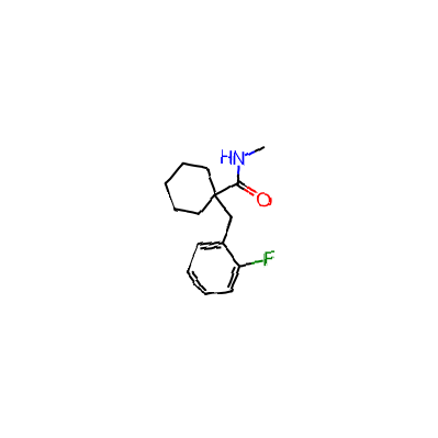 CNC(=O)C1(Cc2ccccc2F)CCCCC1